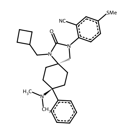 CSc1ccc(N2C[C@]3(CC[C@](c4ccccc4)(N(C)C)CC3)N(CC3CCC3)C2=O)c(C#N)c1